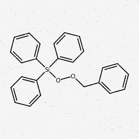 c1ccc(COO[Si](c2ccccc2)(c2ccccc2)c2ccccc2)cc1